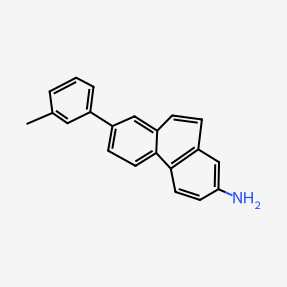 Cc1cccc(-c2ccc3c(ccc4cc(N)ccc43)c2)c1